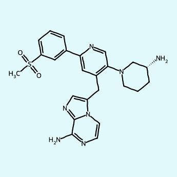 CS(=O)(=O)c1cccc(-c2cc(Cc3cnc4c(N)nccn34)c(N3CCC[C@@H](N)C3)cn2)c1